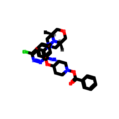 Nc1nnc(Cl)cc1N1C[C@H]2COC[C@@H](C1)N2c1cccc(OC2CCN(OC(=O)c3ccccc3)CC2)c1